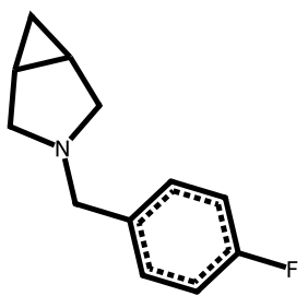 Fc1ccc(CN2CC3CC3C2)cc1